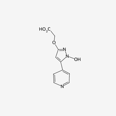 O=C(O)COc1cc(-c2ccncc2)n(O)n1